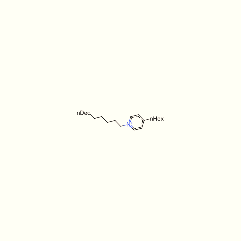 CCCCCCCCCCCCCCC[n+]1ccc(CCCCCC)cc1